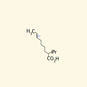 C/C=C/CCCCC(C(=O)O)C(C)C